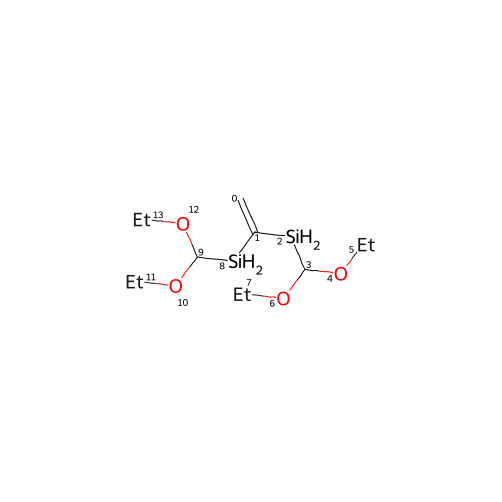 C=C([SiH2]C(OCC)OCC)[SiH2]C(OCC)OCC